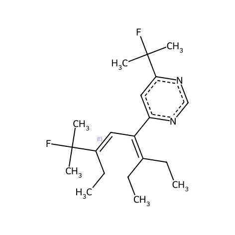 CCC(CC)=C(/C=C(\CC)C(C)(C)F)c1cc(C(C)(C)F)ncn1